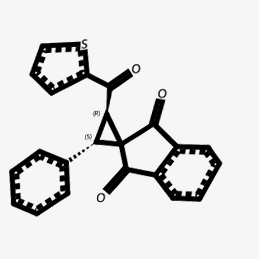 O=C(c1cccs1)[C@@H]1[C@@H](c2ccccc2)C12C(=O)c1ccccc1C2=O